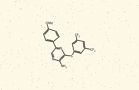 COc1ccc(-c2cnc(N)c(Sc3cc(C(F)(F)F)cc(C(F)(F)F)c3)n2)cc1